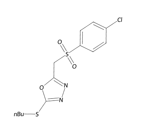 CCCCSc1nnc(CS(=O)(=O)c2ccc(Cl)cc2)o1